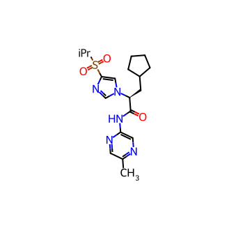 Cc1cnc(NC(=O)[C@H](CC2CCCC2)n2cnc(S(=O)(=O)C(C)C)c2)cn1